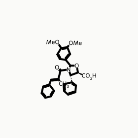 COc1ccc(C2O[C@@H](C(=O)O)[C@H](c3ccccc3)N2C(=O)C(C)=Cc2ccccc2)cc1OC